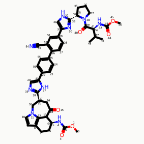 COC(=O)N[C@H]1CCc2ccn3c2C1C(=O)C[C@H](c1ncc(-c2ccc(-c4ccc(-c5c[nH]c([C@@H]6CCCN6C(=O)[C@@H](NC(=O)OC)C(C)C)n5)cc4C#N)cc2)[nH]1)C3